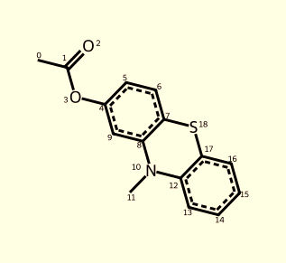 CC(=O)Oc1ccc2c(c1)N(C)c1ccccc1S2